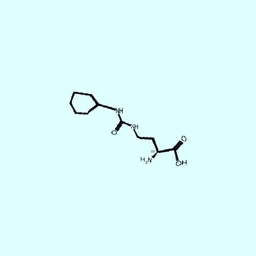 N[C@@H](CCNC(=O)NC1CCCCC1)C(=O)O